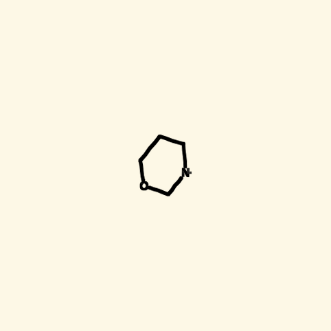 C1C[N]COC1